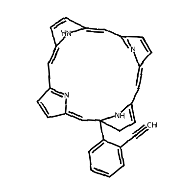 C#Cc1ccccc1C12C=C3C=CC(=N3)C=c3ccc([nH]3)=CC3=NC(=CC(=CC1)N2)C=C3